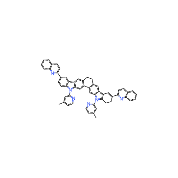 Cc1ccnc(-n2c3c(c4cc5c(cc42)-c2cc4c(cc2CC5)c2cc(-c5ccc6ccccc6n5)ccc2n4-c2cc(C)ccn2)C=C(c2ccc4ccccc4n2)CC3)c1